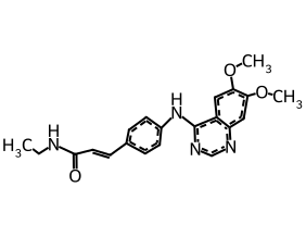 CCNC(=O)C=Cc1ccc(Nc2ncnc3cc(OC)c(OC)cc23)cc1